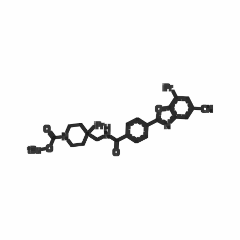 CC(C)c1cc(C#N)cc2nc(-c3ccc(C(=O)NCC4(C(C)C)CCN(C(=O)OC(C)(C)C)CC4)cc3)oc12